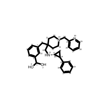 OC(O)c1cccc(CC2(CN[C@@H]3CC3c3ccccc3)CCN(Cc3ccccn3)CC2)c1